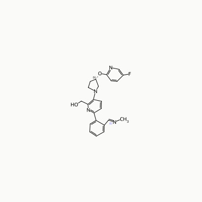 C/N=C/c1ccccc1-c1ccc(N2CC[C@H](Oc3ccc(F)cn3)C2)c(CO)n1